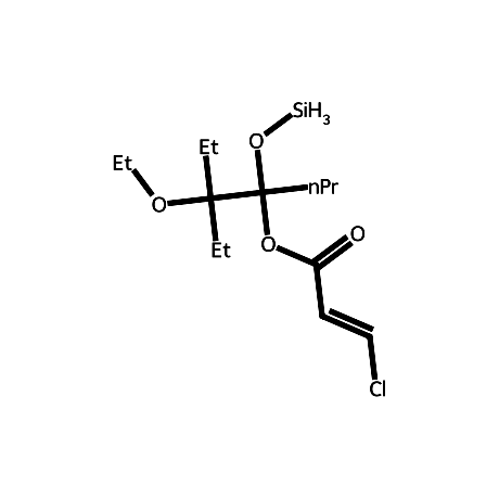 CCCC(O[SiH3])(OC(=O)C=CCl)C(CC)(CC)OCC